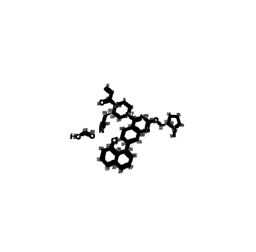 C=CC(=O)N1CCN(c2nc(OC[C@@H]3CCCN3C)nc3c2CCC(c2cccc4cccc(Cl)c24)=C3)C[C@@H]1CC#N.O=CO